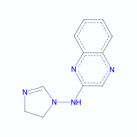 C1=NCCN1Nc1cnc2ccccc2n1